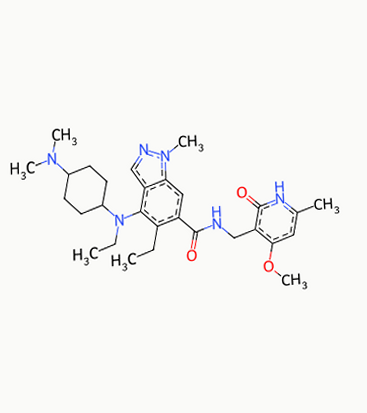 CCc1c(C(=O)NCc2c(OC)cc(C)[nH]c2=O)cc2c(cnn2C)c1N(CC)C1CCC(N(C)C)CC1